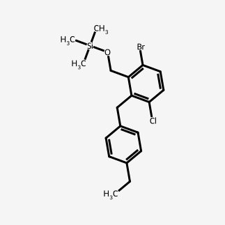 CCc1ccc(Cc2c(Cl)ccc(Br)c2CO[Si](C)(C)C)cc1